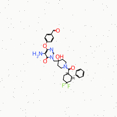 Nc1c(Oc2ccc(C=O)cc2)ncn(CC2(O)CCN(C(=O)[C@@H]3CCC(F)(F)C[C@H]3c3ccccc3)CC2)c1=O